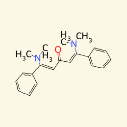 CN(C)C(=CC(=O)C=C(c1ccccc1)N(C)C)c1ccccc1